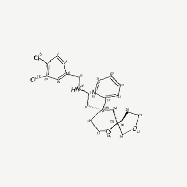 Clc1ccc(CNCC[C@@]2(c3ccccn3)CCO[C@]3(CCOC3)C2)cc1Cl